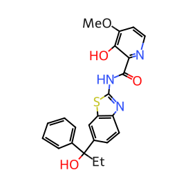 CCC(O)(c1ccccc1)c1ccc2nc(NC(=O)c3nccc(OC)c3O)sc2c1